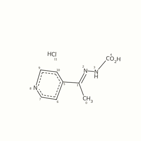 CC(=NNC(=O)O)c1ccncc1.Cl